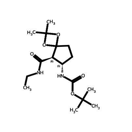 CCNC(=O)[C@@H]1[C@@H](NC(=O)OC(C)(C)C)CCC12OC(C)(C)O2